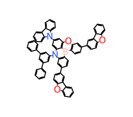 c1ccc(-c2cc(-c3ccccc3)cc(N3c4cc(-c5ccc6oc7ccccc7c6c5)ccc4B4c5ccc(-c6ccc7oc8ccccc8c7c6)cc5Oc5cc(-n6c7ccccc7c7ccccc76)cc3c54)c2)cc1